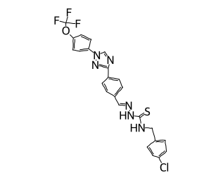 FC(F)(F)Oc1ccc(-n2cnc(-c3ccc(/C=N/NC(=S)NCc4ccc(Cl)cc4)cc3)n2)cc1